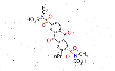 CCCc1cc2c(cc1S(=O)(=O)N(C)S(=O)(=O)O)C(=O)c1ccc(S(=O)(=O)N(C)S(=O)(=O)O)cc1C2=O